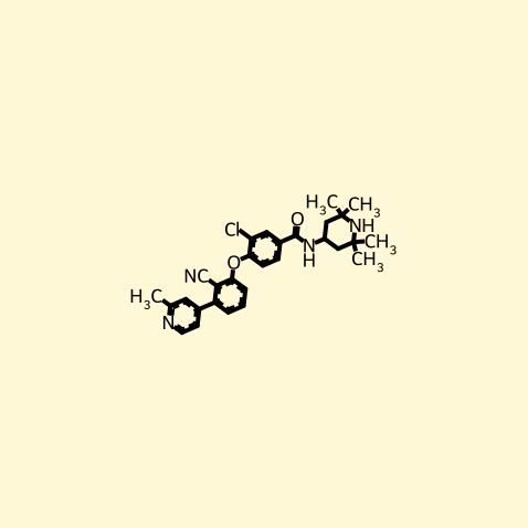 Cc1cc(-c2cccc(Oc3ccc(C(=O)NC4CC(C)(C)NC(C)(C)C4)cc3Cl)c2C#N)ccn1